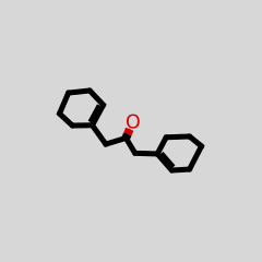 O=C(CC1=CCCCC1)CC1=CCCCC1